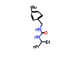 CCCC(CC)NC(=O)NCc1ccc(C(C)(C)C)cc1